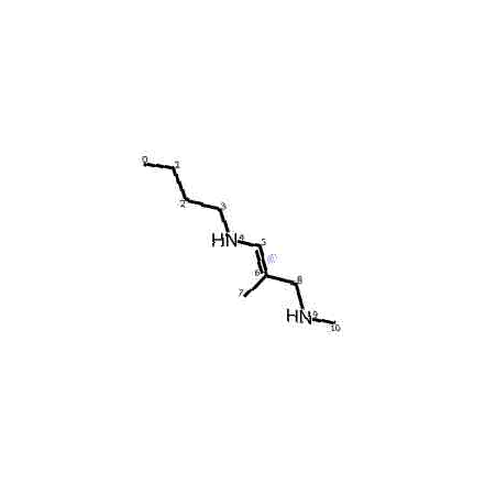 CCCCN/C=C(\C)CNC